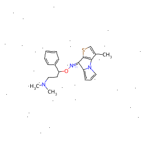 Cc1csc2c1-n1cccc1/C2=N\OC(CCN(C)C)c1ccccc1